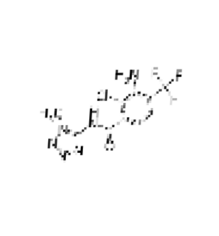 Cn1nnnc1NC(=O)c1ccc(C(F)(F)F)c(N)c1Cl